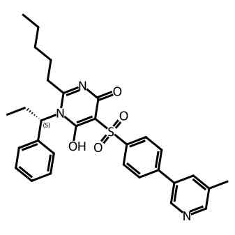 CCCCCc1nc(=O)c(S(=O)(=O)c2ccc(-c3cncc(C)c3)cc2)c(O)n1[C@@H](CC)c1ccccc1